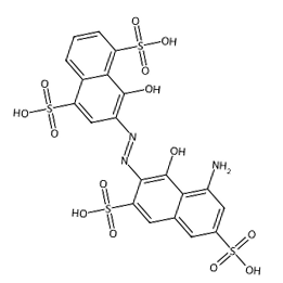 Nc1cc(S(=O)(=O)O)cc2cc(S(=O)(=O)O)c(N=Nc3cc(S(=O)(=O)O)c4cccc(S(=O)(=O)O)c4c3O)c(O)c12